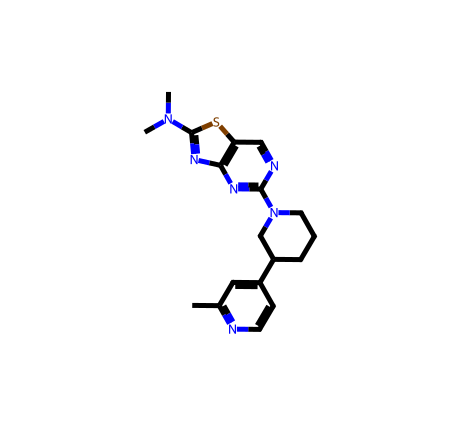 Cc1cc(C2CCCN(c3ncc4sc(N(C)C)nc4n3)C2)ccn1